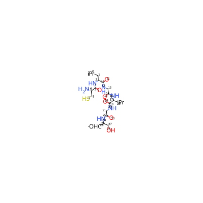 CC(C)C[C@H](NC(=O)[C@@H](N)CS)C(=O)NCC(=O)N[C@H](C(=O)NCC(=O)N[C@H]([C]=O)CO)C(C)C